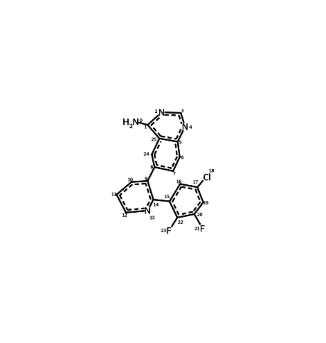 Nc1ncnc2ccc(-c3cccnc3-c3cc(Cl)cc(F)c3F)cc12